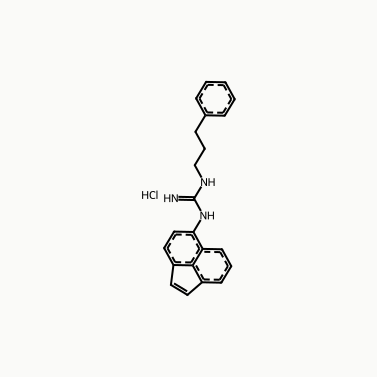 Cl.N=C(NCCCc1ccccc1)Nc1ccc2c3c(cccc13)C=C2